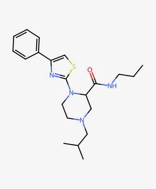 CCCNC(=O)C1CN(CC(C)C)CCN1c1nc(-c2ccccc2)cs1